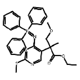 CCOC(=O)C(C)(COC)c1cnc(SC)nc1N=P(c1ccccc1)(c1ccccc1)c1ccccc1